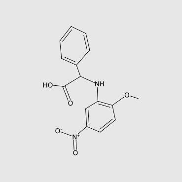 COc1ccc([N+](=O)[O-])cc1NC(C(=O)O)c1ccccc1